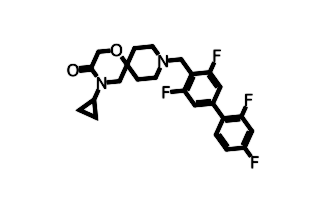 O=C1COC2(CCN(Cc3c(F)cc(-c4ccc(F)cc4F)cc3F)CC2)CN1C1CC1